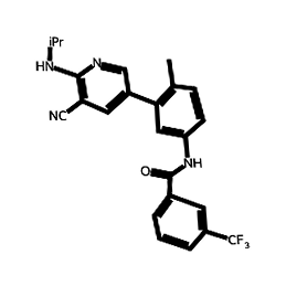 Cc1ccc(NC(=O)c2cccc(C(F)(F)F)c2)cc1-c1cnc(NC(C)C)c(C#N)c1